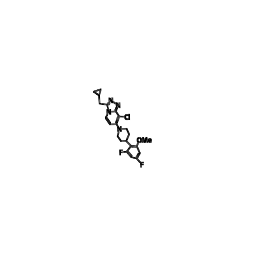 COc1cc(F)cc(F)c1C1CCN(c2ccn3c(CC4CC4)nnc3c2Cl)CC1